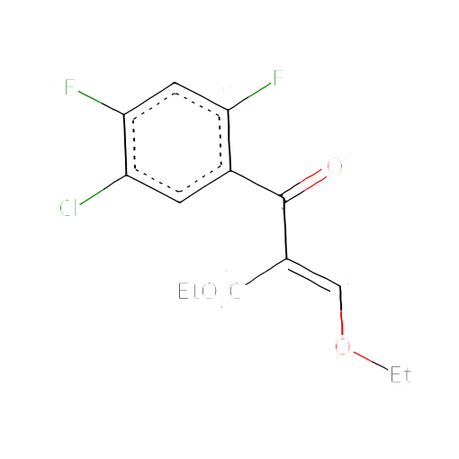 CCO/C=C(\C(=O)OCC)C(=O)c1cc(Cl)c(F)cc1F